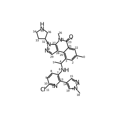 Cc1cc(C(C)Nc2ccc(Cl)nc2-c2cnn(C)c2)c2c(c1)c(=O)n(C)c1c2cnn1C1CCNC1